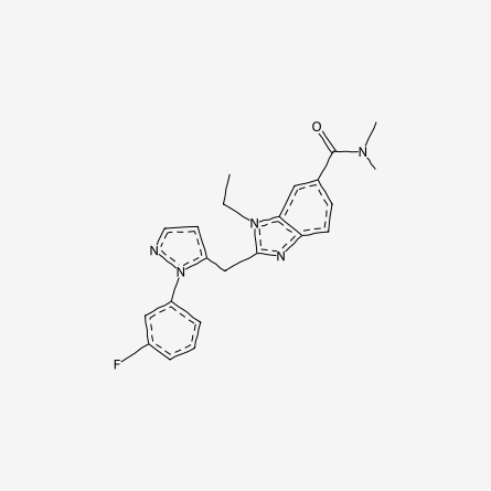 CCn1c(Cc2ccnn2-c2cccc(F)c2)nc2ccc(C(=O)N(C)C)cc21